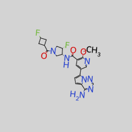 COc1ncc(-c2ccc3c(N)ncnn23)cc1C(=O)N[C@@H]1CN(C(=O)C2CC(F)C2)C[C@@H]1F